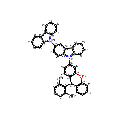 CC(C)c1cccc(C(C)C)c1B1c2ccccc2Oc2cc(-n3c4ccccc4c4cc(-n5c6ccccc6c6ccccc65)ccc43)ccc21